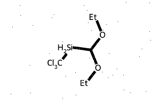 CCOC(OCC)[SiH2]C(Cl)(Cl)Cl